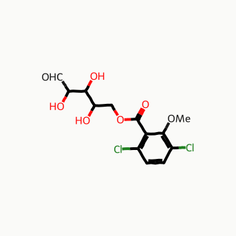 COc1c(Cl)ccc(Cl)c1C(=O)OCC(O)C(O)C(O)C=O